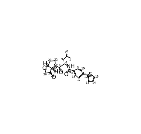 CC(C)C[C@H](NC(=O)c1ccc(-c2cccs2)cc1)C(=O)N1CC[C@H]2OCC(=O)[C@H]21